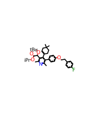 Cc1nc(C)c(C(OC(C)(C)C)C(=O)OC(C)C)c(C2=CCC(C)(C)CC2)c1-c1ccc(OCCc2ccc(F)cc2)cc1